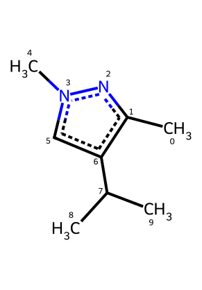 Cc1nn(C)cc1C(C)C